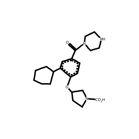 O=C(O)N1CCC(Oc2ccc(C(=O)N3CCNCC3)cc2C2CCCCC2)C1